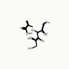 C=C(C)C(=O)OC.OCC(O)C(O)C(O)C(O)CO